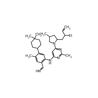 C=CC(CC)CC1CC(C)CN1c1cc(Nc2cc(C3CCC(C)(C)CC3)c(C)cc2C=N)nc(C)n1